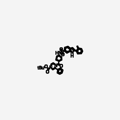 Cc1ccccc1-c1cc2ccc(S(=O)(=O)N[C@H]3CC[C@H](C(=O)N4CCN(C(=O)OC(C)(C)C)C[C@@H]4c4ccccc4)CC3)cc2[nH]1